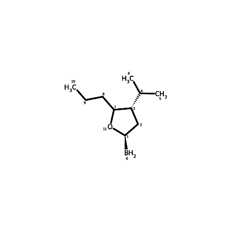 B[C@@H]1C[C@@H](C(C)C)C(CCC)O1